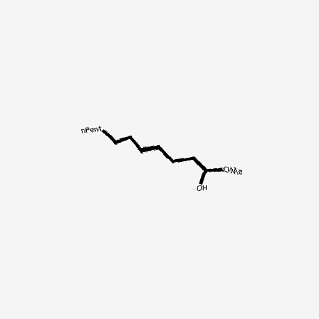 [CH2]OC(O)CCCCCCCCCCC